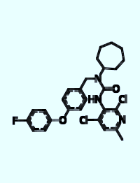 Cc1cc(Cl)c(NC(=O)N(Cc2ccc(Oc3ccc(F)cc3)cc2)C2CCCCCC2)c(Cl)n1